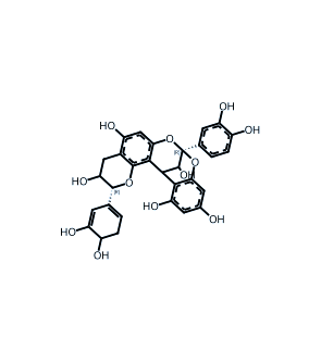 OC1=CC([C@H]2Oc3c(c(O)cc4c3C3c5c(O)cc(O)cc5O[C@](c5ccc(O)c(O)c5)(O4)C3O)CC2O)=CCC1O